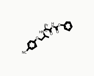 CC(COc1ccc(C#N)cc1)N[C@H](C(=O)NC(=O)Oc1ccccc1)C(C)C